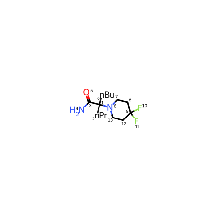 CCCCC(CCC)(C(N)=O)N1CCC(F)(F)CC1